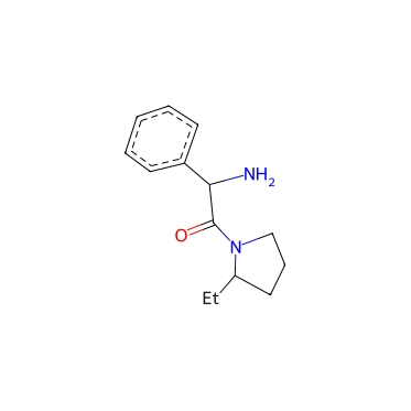 CCC1CCCN1C(=O)C(N)c1ccccc1